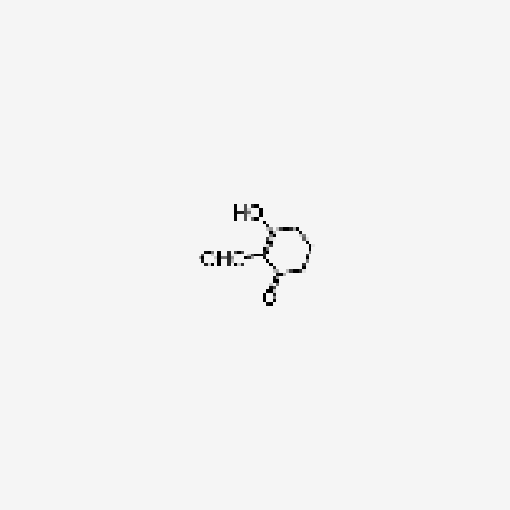 O=[C]C1=C(O)CCCC1=O